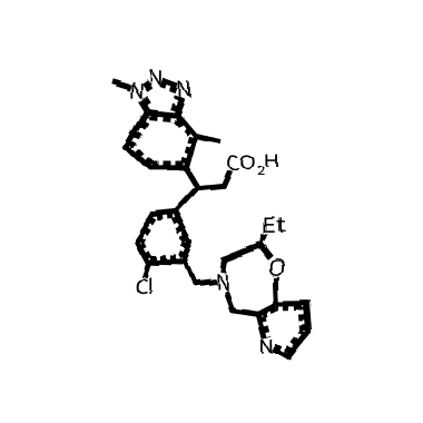 CC[C@@H]1CN(Cc2cc(C(CC(=O)O)c3ccc4c(nnn4C)c3C)ccc2Cl)Cc2ncccc2O1